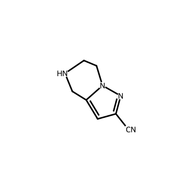 N#Cc1cc2n(n1)CCNC2